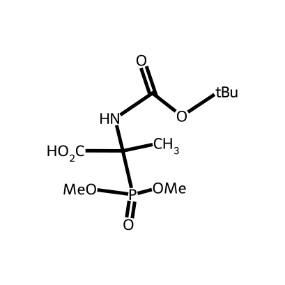 COP(=O)(OC)C(C)(NC(=O)OC(C)(C)C)C(=O)O